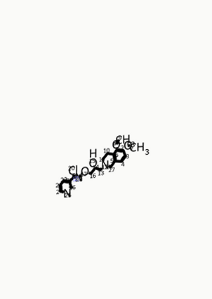 COc1ccc2c(c1OC)CCN(CC(O)CO/N=C(\Cl)c1cccnc1)C2